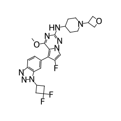 COc1nc(NC2CCN(C3COC3)CC2)nn2cc(F)c(-c3ccc4nnn(C5CC(F)(F)C5)c4c3)c12